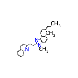 CC/C=C/C=C\c1c(C)ccc2c1nc(CCc1ccc3ccccc3n1)n2C